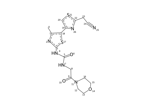 Cc1nc(NC(=O)NCC(=O)N2CCOCC2)sc1-c1csc(CC#N)n1